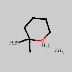 C.C.CC1([SiH3])CCCCO1